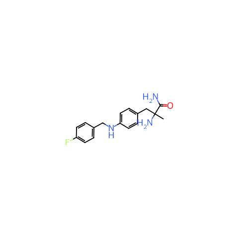 CC(N)(Cc1ccc(NCc2ccc(F)cc2)cc1)C(N)=O